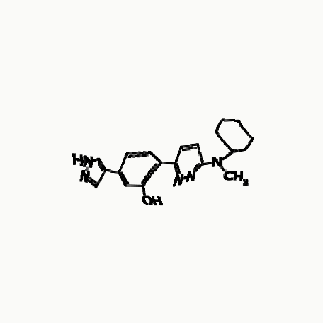 CN(c1ccc(-c2ccc(-c3cn[nH]c3)cc2O)nn1)C1CCCCC1